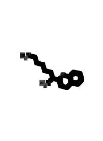 NCCCCCC(N)C1=CCc2ccccc2O1